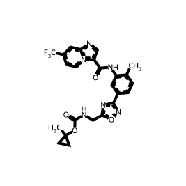 Cc1ccc(-c2noc(CNC(=O)OC3(C)CC3)n2)cc1NC(=O)c1cnc2cc(C(F)(F)F)ccn12